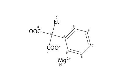 CCC(C(=O)[O-])(C(=O)[O-])c1ccccc1.[Mg+2]